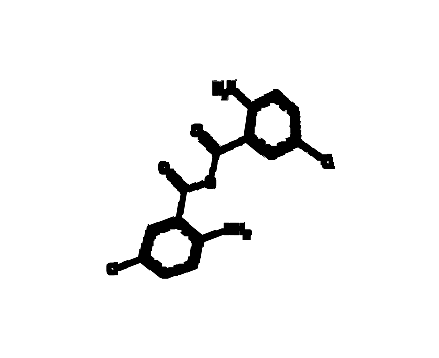 Nc1ccc(Cl)cc1C(=O)OC(=O)c1cc(Cl)ccc1N